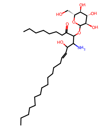 CCCCCCCCCCCCCC=CC(O)C(N)C(OC1O[C@H](CO)[C@@H](O)[C@H](O)[C@H]1O)C(=O)CCCCCCC